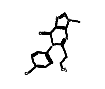 Cn1cnc2c(=O)n(-c3ccc(Cl)cc3)c(CCC(F)(F)F)nc21